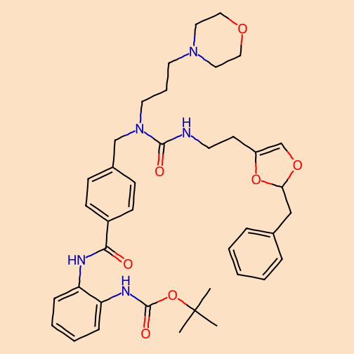 CC(C)(C)OC(=O)Nc1ccccc1NC(=O)c1ccc(CN(CCCN2CCOCC2)C(=O)NCCC2=COC(Cc3ccccc3)O2)cc1